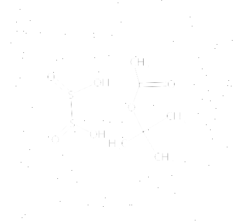 CC(=O)OC(C)(C)C.O=S(O)S(=O)O